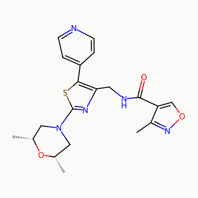 Cc1nocc1C(=O)NCc1nc(N2C[C@@H](C)O[C@@H](C)C2)sc1-c1ccncc1